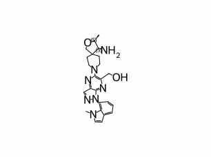 C[C@@H]1OCC2(CCN(c3nc4cnn(-c5cccc6ccn(C)c56)c4nc3CO)CC2)[C@@H]1N